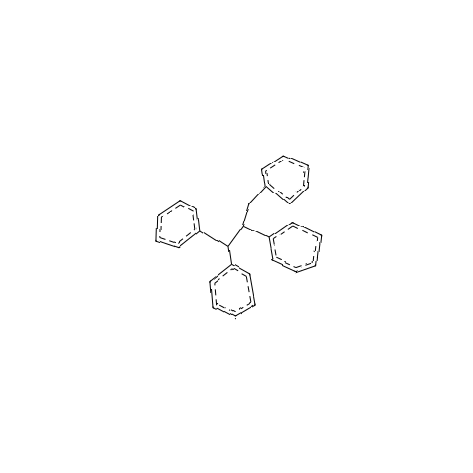 [c]1ccc(C(c2ccccc2)C(Cc2ccccc2)c2ccccc2)cc1